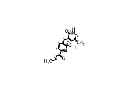 CCOC(=O)c1ccc(Cc2cc(C)n[nH]c2=O)c(C)n1